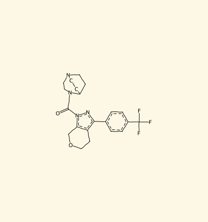 O=C(N1CCN2CCC1CC2)n1nc(-c2ccc(C(F)(F)F)cc2)c2c1COCC2